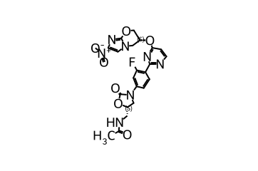 CC(=O)NC[C@H]1CN(c2ccc(-c3nccc(O[C@@H]4COc5nc([N+](=O)[O-])cn5C4)n3)c(F)c2)C(=O)O1